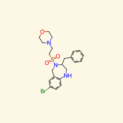 O=S(=O)(CCN1CCOCC1)N1Cc2cc(Br)ccc2NCC1Cc1ccccc1